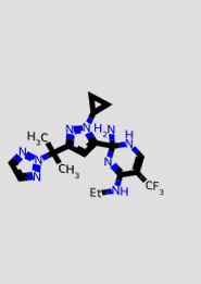 CCNC1=NC(N)(c2cc(C(C)(C)n3nccn3)nn2C2CC2)NC=C1C(F)(F)F